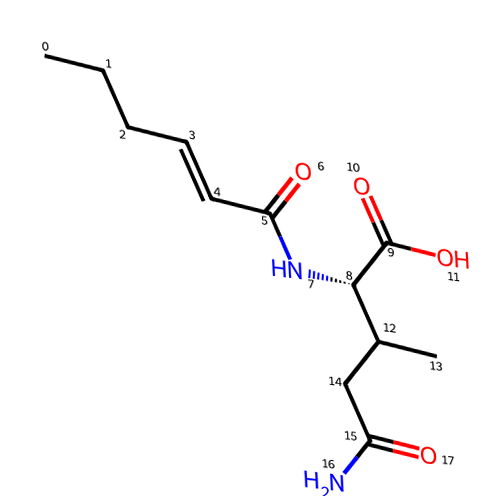 CCCC=CC(=O)N[C@H](C(=O)O)C(C)CC(N)=O